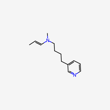 CC=CN(C)CCCCc1cccnc1